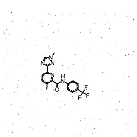 Cc1ccc(-c2ncn(C)n2)nc1C(=O)Nc1ccc(C(F)(F)F)cc1